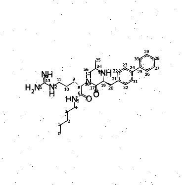 CCCCCNC(=O)[C@H](CCCNC(=N)N)NC(=O)[C@H](Cc1ccc(-c2ccccc2)cc1)NC(C)C